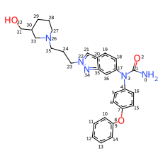 NC(=O)N(c1ccc(Oc2ccccc2)cc1)c1ccc2cn(CCCN3CCCC(CO)C3)nc2c1